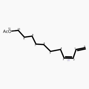 C=C/C=C\CCCCCCCOC(C)=O